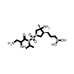 CC(C)N(C(=O)C(N)CN)S(=O)(=O)N1C[C@H](CCCB(O)O)[C@@](C)(N)C1